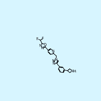 FC(F)c1nnc(-c2ccc(Cn3cc(-c4cccc(C5CNC5)c4)nn3)nc2)o1